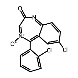 O=c1c[n+]([O-])c(-c2ccccc2Cl)c2cc(Cl)ccc2n1